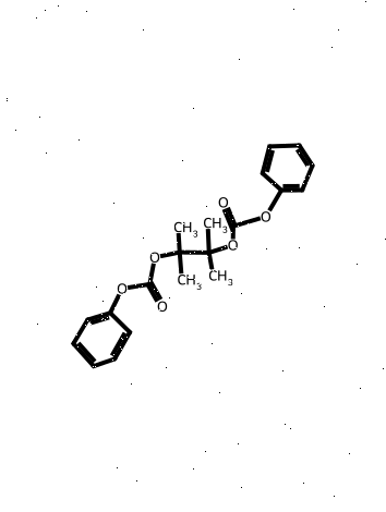 CC(C)(OC(=O)Oc1ccccc1)C(C)(C)OC(=O)Oc1ccccc1